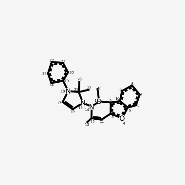 CB1c2c(oc3ccccc23)C=C(C)N1N1C=CN(c2ccccc2)C1(C)C